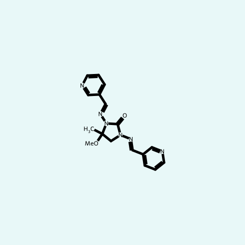 COC1(C)CN(N=Cc2cccnc2)C(=O)N1N=Cc1cccnc1